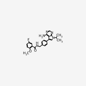 COc1ccc(F)cc1C(=O)NCc1ccc(-c2cn(C(C)C)c3ncnc(N)c23)cc1